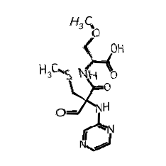 COC[C@H](NC(=O)[C@](C=O)(CSC)Nc1cnccn1)C(=O)O